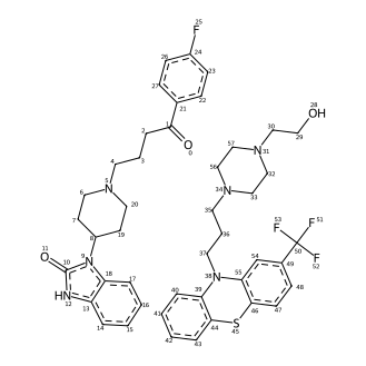 O=C(CCCN1CCC(n2c(=O)[nH]c3ccccc32)CC1)c1ccc(F)cc1.OCCN1CCN(CCCN2c3ccccc3Sc3ccc(C(F)(F)F)cc32)CC1